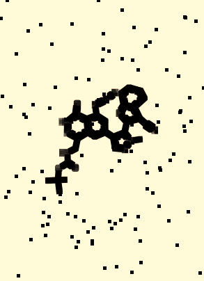 Cn1ncc(-c2cc(N=[N+]=[N-])c3c(=O)[nH]nc(CNC(=O)OC(C)(C)C)c3c2)c1-c1sc2ccccc2c1C#N